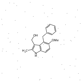 COc1ccc2[nH]c(C)c(CO)c2c1Cc1ccccc1